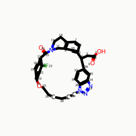 O=C(O)CC1c2ccc3c(c2)CN(CC3)C(=O)c2ccc(cc2F)OCCCCCCn2nnc3cc1ccc32